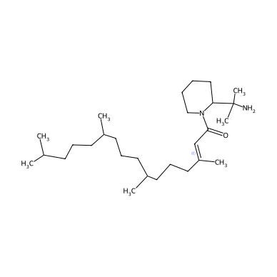 C/C(=C\C(=O)N1CCCCC1C(C)(C)N)CCCC(C)CCCC(C)CCCC(C)C